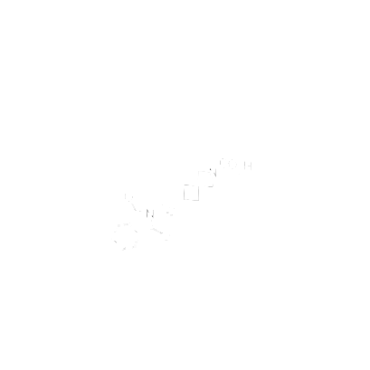 C[C@H](CN1C(=O)c2ccccc2C1=O)C1CC2(C1)CN(C(=O)O)C2